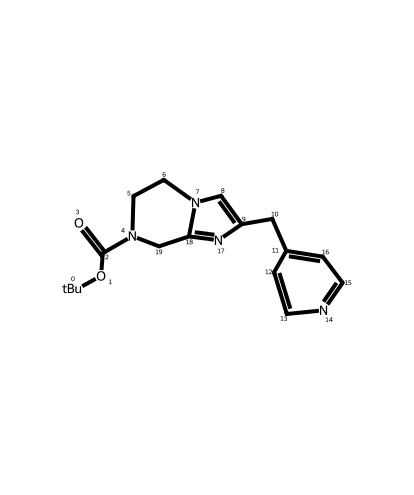 CC(C)(C)OC(=O)N1CCn2cc(Cc3ccncc3)nc2C1